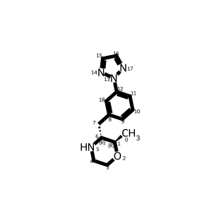 C[C@H]1OCCN[C@@H]1Cc1cccc(-n2nccn2)c1